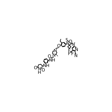 CCc1cc(N(C=S)C2(C(=O)N(C)c3cnc(C#N)c(C(F)(F)F)c3)CCC2)ccc1OCCN1CCN(CC(=O)Nc2cccc(NC3CCC(=O)NC3=O)c2)[C@H](C)C1